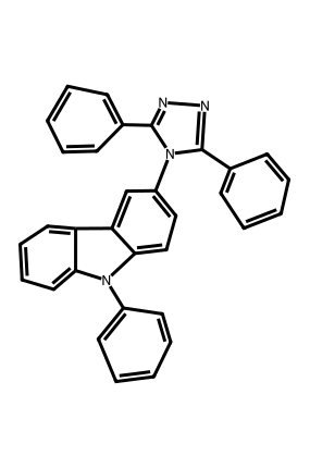 c1ccc(-c2nnc(-c3ccccc3)n2-c2ccc3c(c2)c2ccccc2n3-c2ccccc2)cc1